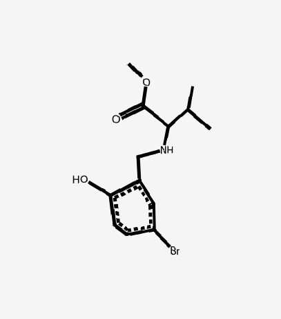 COC(=O)C(NCc1cc(Br)ccc1O)C(C)C